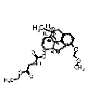 CCOC(=O)CNC(=O)O[C@H]1C=C[C@H]2[C@H]3Cc4ccc(OCOC)c5c4[C@@]2(CCN3C)[C@H]1O5